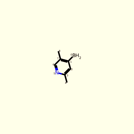 Bc1cc(C)ncc1C